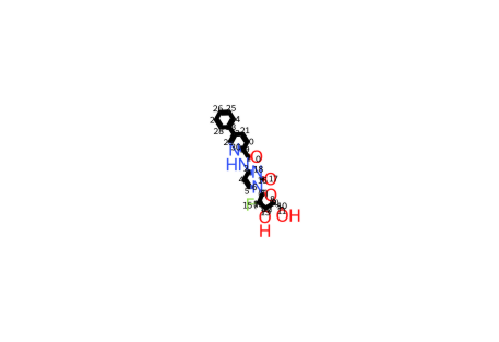 O=C(Nc1ccn([C@H]2O[C@H](CO)[C@@H](O)[C@H]2F)c(=O)n1)c1ccc(-c2ccccc2)cn1